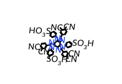 N#Cc1ccc(-c2nc3c(c4nc(-c5ccc(C#N)c(C#N)c5)n(-c5ccc(S(=O)(=O)O)cc5)c4c4nc(-c5ccc(C#N)c(C#N)c5)n(-c5ccc(S(=O)(=O)O)cc5)c34)n2-c2ccc(S(=O)(=O)O)cc2)cc1C#N